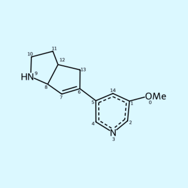 COc1cncc(C2=CC3NCCC3C2)c1